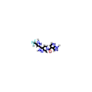 CC1c2nn(C)c(-c3cc(C(F)(F)F)n(C)n3)c2CCN1C(=O)c1ccnc2c1cnn2C